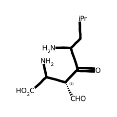 CC(C)CC(N)C(=O)[C@H](C=O)C(N)C(=O)O